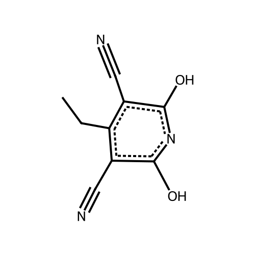 CCc1c(C#N)c(O)nc(O)c1C#N